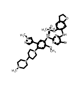 COc1cc(N2CCC(N3CCN(C)CC3)CC2)c(-c2cnn(C)c2)cc1Nc1ncc(Br)c(Nc2cc3c(cc2NS(C)(=O)=O)CCO3)n1